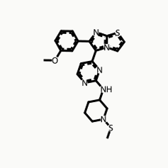 COc1cccc(-c2nc3sccn3c2-c2ccnc(NC3CCCN(SC)C3)n2)c1